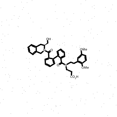 COc1ccc(OC)c(CCN(CCC(=O)O)C(=O)c2ccccc2-c2ccccc2C(=O)N2Cc3ccccc3C[C@H]2CO)c1